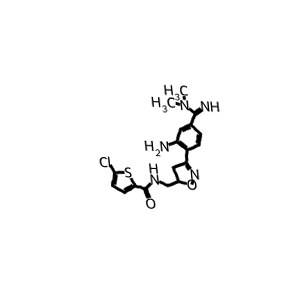 CN(C)C(=N)c1ccc(C2=NOC(CNC(=O)c3ccc(Cl)s3)C2)c(N)c1